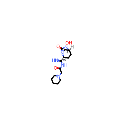 N=C(NC(=O)CN1CCCCC1)[C@@H]1CC[C@@H]2CN1C(=O)N2O